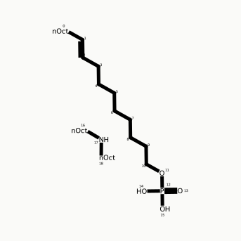 CCCCCCCCC=CCCCCCCCCOP(=O)(O)O.CCCCCCCCNCCCCCCCC